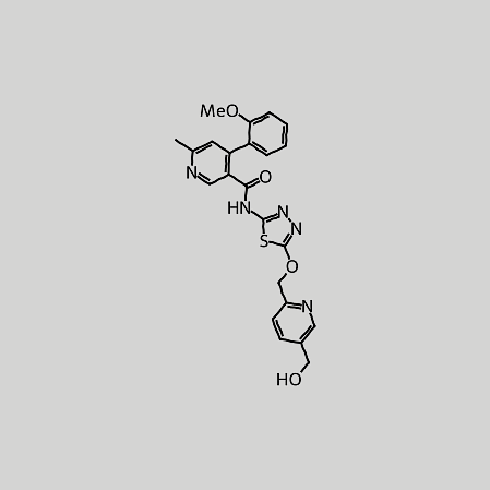 COc1ccccc1-c1cc(C)ncc1C(=O)Nc1nnc(OCc2ccc(CO)cn2)s1